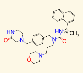 C[C@H](NC(=O)N(CCCN1CCOCC1)Cc1ccc(CN2CCNC(=O)C2)cc1)c1cccc2ccccc12